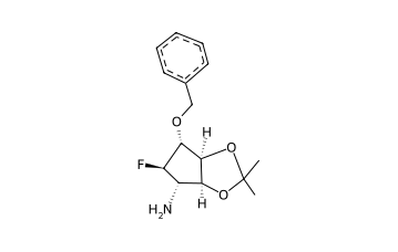 CC1(C)O[C@H]2[C@@H](O1)[C@H](N)[C@@H](F)[C@@H]2OCc1ccccc1